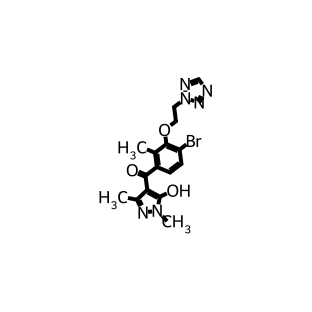 Cc1nn(C)c(O)c1C(=O)c1ccc(Br)c(OCCn2ncnn2)c1C